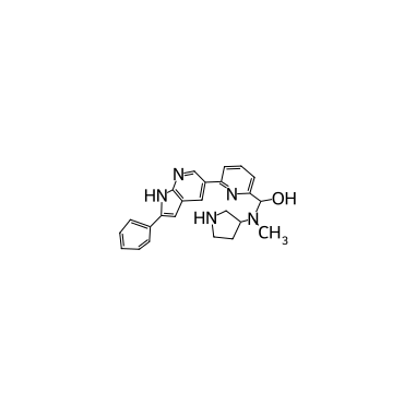 CN(C1CCNC1)C(O)c1cccc(-c2cnc3[nH]c(-c4ccccc4)cc3c2)n1